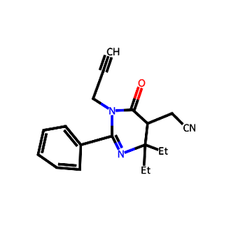 C#CCN1C(=O)C(CC#N)C(CC)(CC)N=C1c1ccccc1